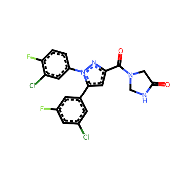 O=C1CN(C(=O)c2cc(-c3cc(F)cc(Cl)c3)n(-c3ccc(F)c(Cl)c3)n2)CN1